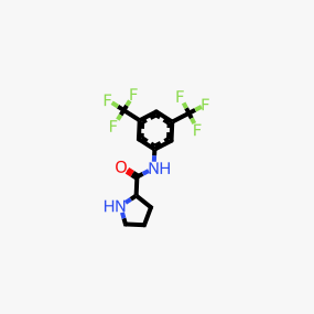 O=C(Nc1cc(C(F)(F)F)cc(C(F)(F)F)c1)C1CCCN1